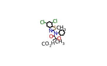 Cc1cccc2c1N(c1nc3cc(Cl)cc(Cl)c3s1)C(=O)C(C)(CC(=O)O)O2